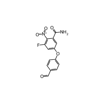 NC(=O)c1cc(Oc2ccc(C=O)cc2)cc(F)c1[N+](=O)[O-]